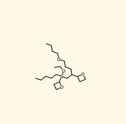 CCCCC[Si](CC(CCCOCCCC)C1CCO1)(OCC)C1CCO1